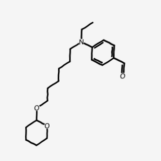 CCN(CCCCCCOC1CCCCO1)c1ccc(C=O)cc1